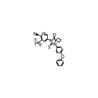 N#Cc1ncc(N2C(=O)C3(CCC3)N(c3ccc(Oc4ccccc4)cc3)C2=S)cc1C(F)(F)F